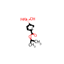 CC(C)OC(=O)c1ccc(B(O)O)cc1